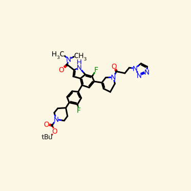 CN(C)C(=O)c1cc2c(-c3ccc(C4CCN(C(=O)OC(C)(C)C)CC4)c(F)c3)cc(C3=CCCN(C(=O)CCn4ccnn4)C3)c(F)c2[nH]1